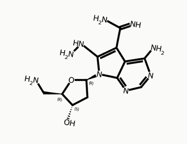 N=C(N)c1c(NN)n([C@H]2C[C@H](O)[C@@H](CN)O2)c2ncnc(N)c12